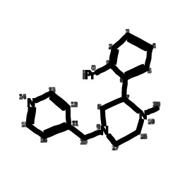 CC(C)c1ccccc1C1CN(Cc2ccncc2)CCN1C